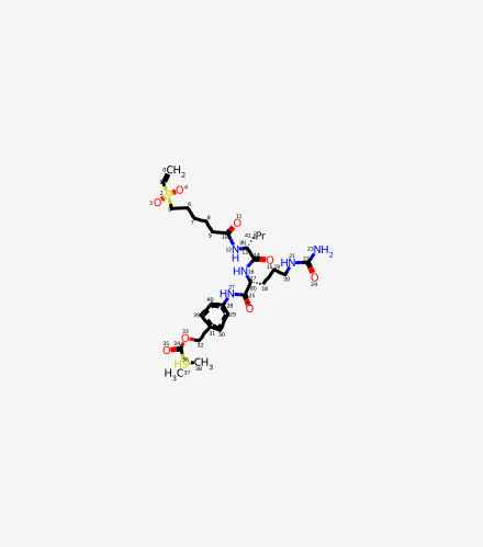 C=CS(=O)(=O)CCCCCC(=O)N[C@@H](C(=O)N[C@H](CCCNC(N)=O)C(=O)Nc1ccc(COC(=O)[SH](C)C)cc1)C(C)C